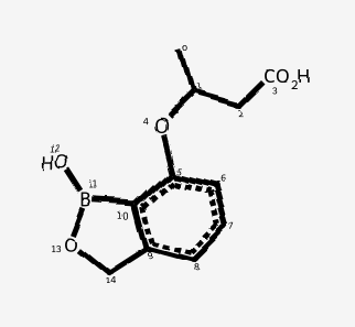 CC(CC(=O)O)Oc1cccc2c1B(O)OC2